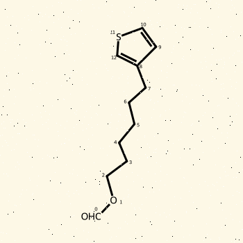 O=COCCCCCCc1ccsc1